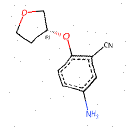 N#Cc1cc(N)ccc1O[C@@H]1CCOC1